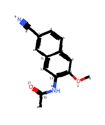 COc1cc2ccc(C#N)cc2cc1NC(C)=O